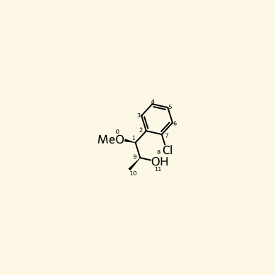 CO[C@@H](c1ccccc1Cl)[C@H](C)O